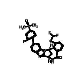 CP(C)(=O)c1ccc(-c2ccc3nc4n(c3c2)[C@@H]2C[C@H]4NC(=O)c3cccc(OC(F)F)c32)c(F)c1